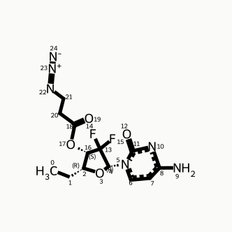 CC[C@H]1O[C@@H](n2ccc(N)nc2=O)C(F)(F)[C@H]1OC(=O)CCN=[N+]=[N-]